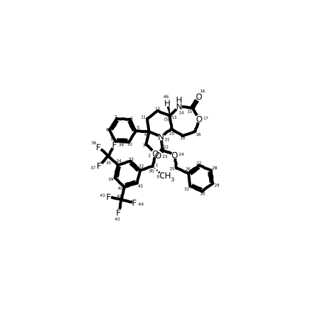 C[C@@H](OCC1(c2ccccc2)CC[C@@H]2NC(=O)OCCC2N1C(=O)OCc1ccccc1)c1cc(C(F)(F)F)cc(C(F)(F)F)c1